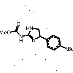 COC(=O)NC1=NC(c2ccc(C(C)(C)C)cc2)CN1